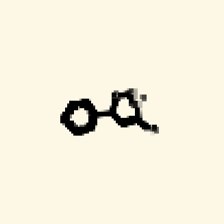 CCC(C)C(=CC(O[SiH3])c1ccccc1)C(C)CC